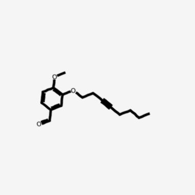 CCCCC#CCCOc1cc(C=O)ccc1OC